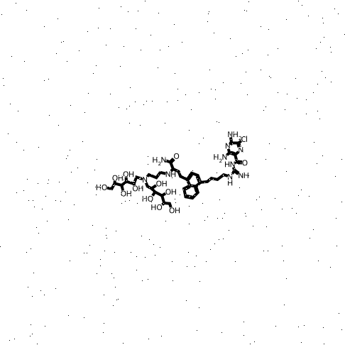 N=C(NCCCCc1ccc(CCC(NCCCN(CC(O)C(O)C(O)C(O)CO)CC(O)C(O)C(O)C(O)CO)C(N)=O)c2ccccc12)NC(=O)c1nc(Cl)c(N)nc1N